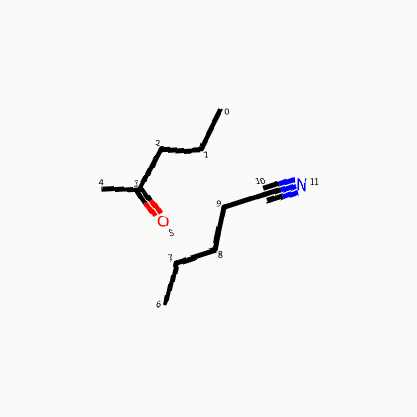 CCCC(C)=O.CCCCC#N